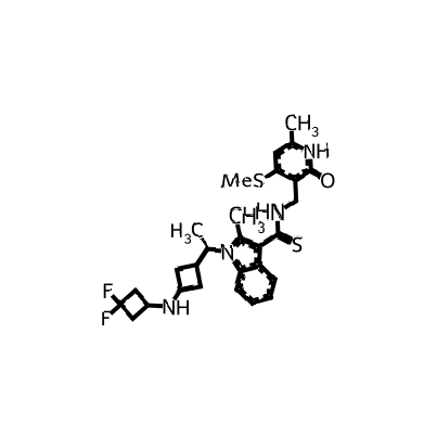 CSc1cc(C)[nH]c(=O)c1CNC(=S)c1c(C)n([C@H](C)C2CC(NC3CC(F)(F)C3)C2)c2ccccc12